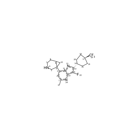 Cc1cc(C23CNCCC2C3)n2nc([C@H]3CC[C@H](C(F)(F)F)CC3)c(F)c2n1